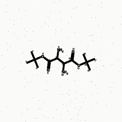 CC(C)(C)OC(=O)C(N)C(N)C(=O)OC(C)(C)C